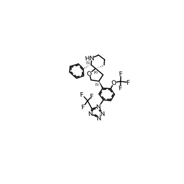 FC(F)(F)Oc1ccc(-n2nnnc2C(F)(F)F)cc1[C@H]1CO[C@]2(CCCN[C@H]2c2ccccc2)C1